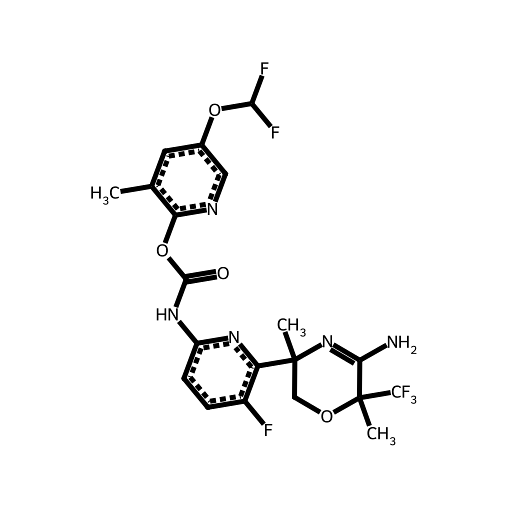 Cc1cc(OC(F)F)cnc1OC(=O)Nc1ccc(F)c(C2(C)COC(C)(C(F)(F)F)C(N)=N2)n1